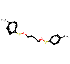 Cc1ccc(SOCCCOSc2ccc(C)cc2)cc1